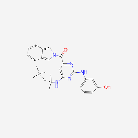 CC(C)(C)CC(C)(C)Nc1cc(C(=O)n2cc3ccccc3c2)nc(Nc2cccc(O)c2)n1